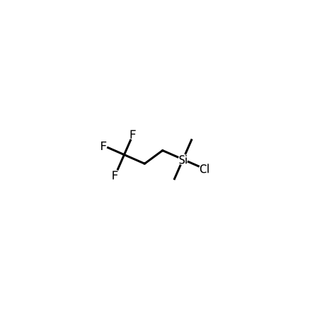 C[Si](C)(Cl)CCC(F)(F)F